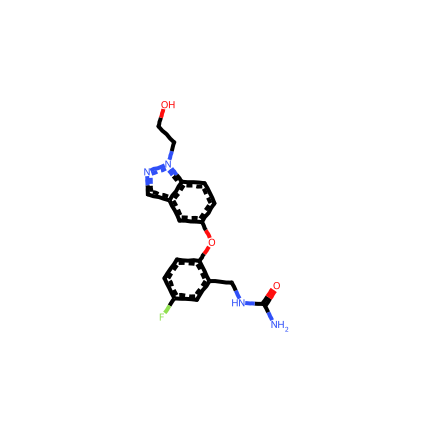 NC(=O)NCc1cc(F)ccc1Oc1ccc2c(cnn2CCO)c1